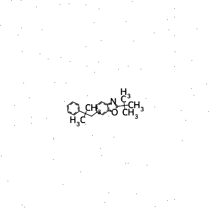 CC(C)(C)c1nc2ccc(CC(C)(C)c3ccccc3)cc2o1